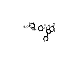 Cc1nccc(N[C@H]2CC[C@@H](Oc3cc(C4=CCOCC4)cc4ncc(=O)n(C)c34)CC2)n1